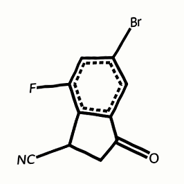 N#CC1CC(=O)c2cc(Br)cc(F)c21